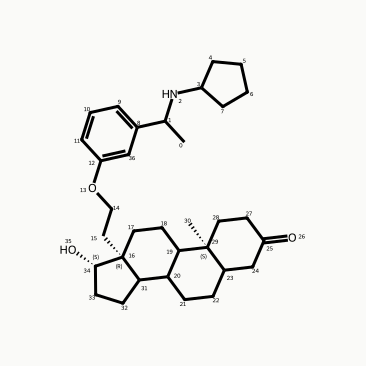 CC(NC1CCCC1)c1cccc(OCC[C@]23CCC4C(CCC5CC(=O)CC[C@@]54C)C2CC[C@@H]3O)c1